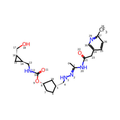 C/C(=N\NC[C@@H]1CC[C@H](OC(=O)NC[C@H]2C[C@@H]2CO)C1)NC(=O)Cc1ccc(C(F)(F)F)nc1